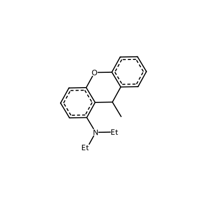 CCN(CC)c1cccc2c1C(C)c1ccccc1O2